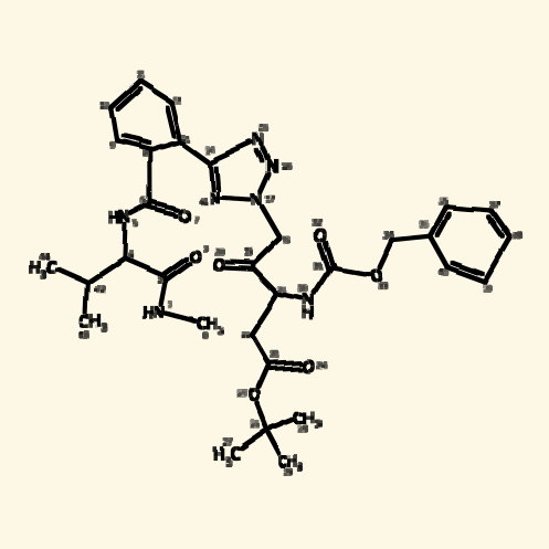 CNC(=O)C(NC(=O)c1ccccc1-c1nnn(CC(=O)C(CC(=O)OC(C)(C)C)NC(=O)OCc2ccccc2)n1)C(C)C